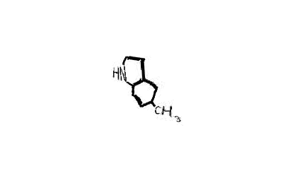 CC1C=Cc2[nH]ccc2C1